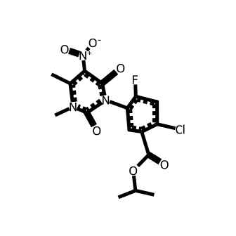 Cc1c([N+](=O)[O-])c(=O)n(-c2cc(C(=O)OC(C)C)c(Cl)cc2F)c(=O)n1C